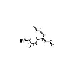 C=C/C=C\C(=C/C=C)CSC(C)CC(C)C